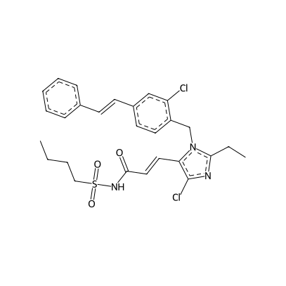 CCCCS(=O)(=O)NC(=O)C=Cc1c(Cl)nc(CC)n1Cc1ccc(C=Cc2ccccc2)cc1Cl